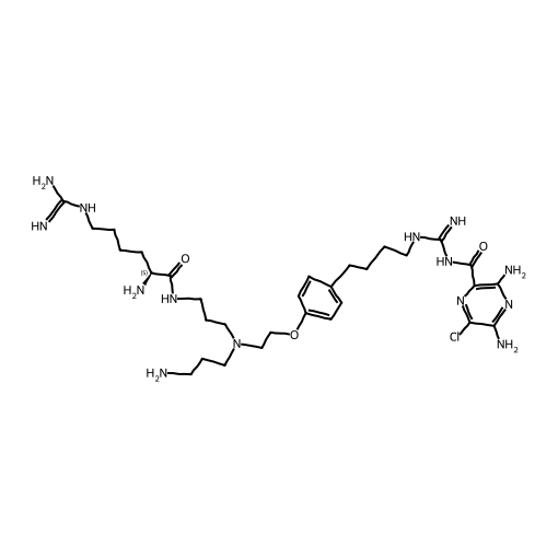 N=C(N)NCCCC[C@H](N)C(=O)NCCCN(CCCN)CCOc1ccc(CCCCNC(=N)NC(=O)c2nc(Cl)c(N)nc2N)cc1